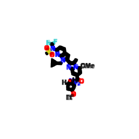 CCOC1C[C@@H]2CN(C(=O)c3cc(OC)n4c(C)c(-c5cc6ccc(N(C(F)F)S(C)(=O)=O)nc6n5CC5CC5)nc4c3)C1[C@@H]2N